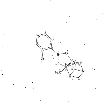 CCc1ccccc1B1OC2CC3CC(C3(C)C)C2(C)O1